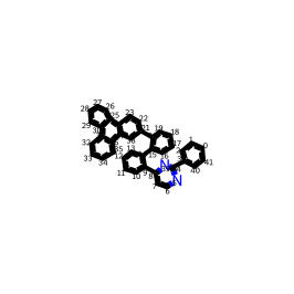 c1ccc(-c2nccc(-c3ccccc3-c3ccccc3-c3ccc4c5ccccc5c5ccccc5c4c3)n2)cc1